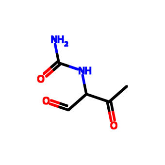 CC(=O)C(C=O)NC(N)=O